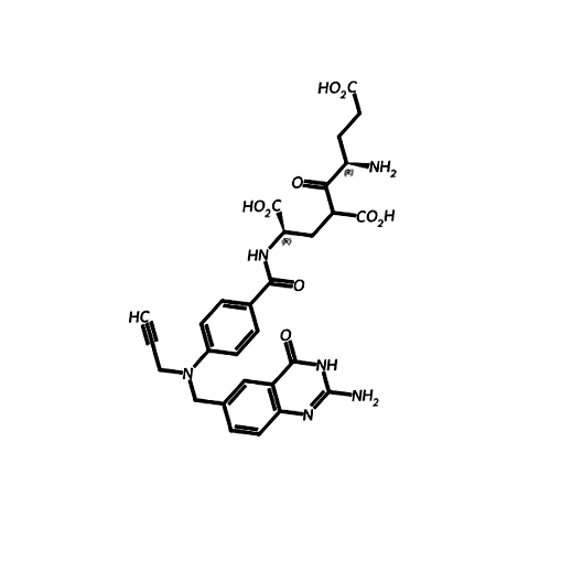 C#CCN(Cc1ccc2nc(N)[nH]c(=O)c2c1)c1ccc(C(=O)N[C@H](CC(C(=O)O)C(=O)[C@H](N)CCC(=O)O)C(=O)O)cc1